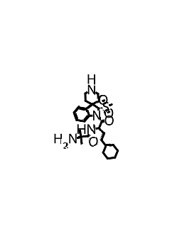 CC(C)(N)C(=O)NC(CCC1CCCCC1)C(=O)N1c2ccccc2C2(CCNCC2)[C@H]1S(C)(=O)=O